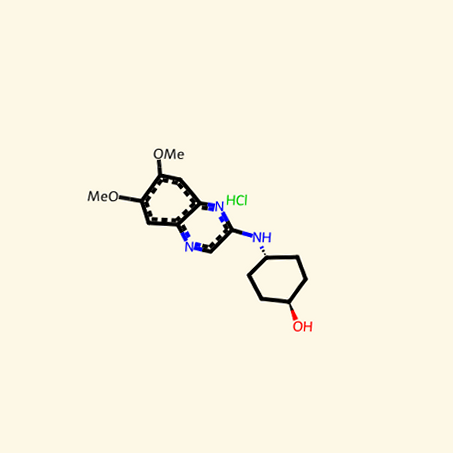 COc1cc2ncc(N[C@H]3CC[C@H](O)CC3)nc2cc1OC.Cl